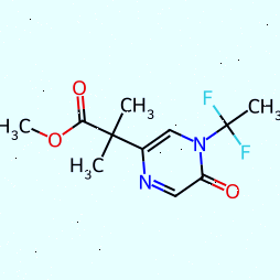 COC(=O)C(C)(C)c1cn(C(C)(F)F)c(=O)cn1